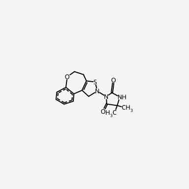 CC1(C)NC(=O)N(N2CC3=C(CCOc4ccccc43)S2)C1=O